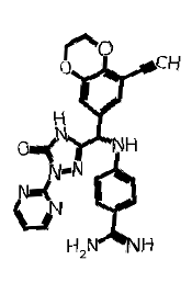 C#Cc1cc(C(Nc2ccc(C(=N)N)cc2)c2nn(-c3ncccn3)c(=O)[nH]2)cc2c1OCCO2